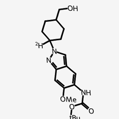 [2H]C1(n2cc3cc(NC(=O)OC(C)(C)C)c(OC)cc3n2)CCC(CO)CC1